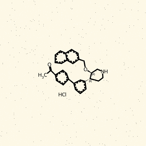 CC(=O)c1ccc(-c2cccc([C@H]3CCNC[C@@H]3OCc3ccc4ccccc4c3)c2)cc1.Cl